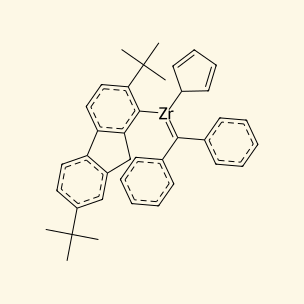 CC(C)(C)c1ccc2c(c1)Cc1c-2ccc(C(C)(C)C)[c]1[Zr](=[C](c1ccccc1)c1ccccc1)[CH]1C=CC=C1